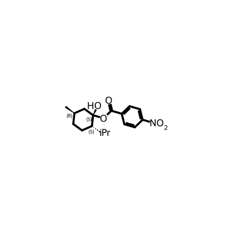 CC(C)[C@@H]1CC[C@@H](C)C[C@]1(O)OC(=O)c1ccc([N+](=O)[O-])cc1